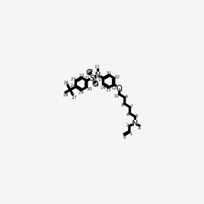 C=CCN(C)CCCCCCOc1ccc(N(C)S(=O)(=O)c2ccc(C(C)(C)C)cc2)cc1